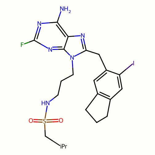 CC(C)CS(=O)(=O)NCCCn1c(Cc2cc3c(cc2I)CCC3)nc2c(N)nc(F)nc21